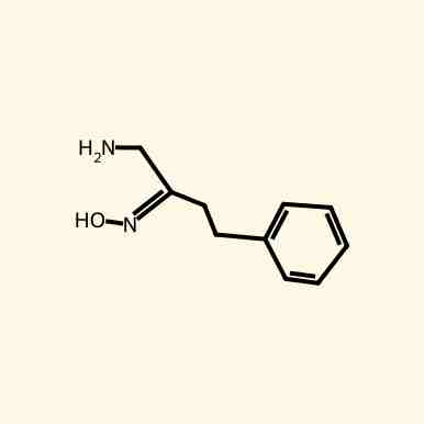 NCC(CCc1ccccc1)=NO